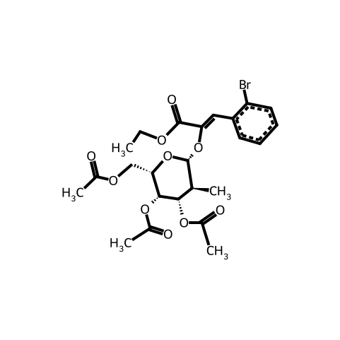 CCOC(=O)/C(=C/c1ccccc1Br)O[C@H]1O[C@@H](COC(C)=O)[C@@H](OC(C)=O)[C@@H](OC(C)=O)[C@@H]1C